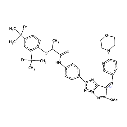 CCC(C)(C)c1ccc(OC(C)C(=O)Nc2ccc(-c3nc4n(n3)N=C(SC)/C4=N/c3ccc(N4CCOCC4)nc3)cc2)c(C(C)(C)CC)c1